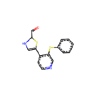 O=CC1NC=C(c2ccncc2Sc2ccccc2)S1